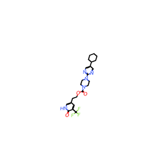 O=C(OCCc1c[nH]c(=O)c(C(F)(F)F)c1)N1CCN(c2ncc(C3CCCCC3)cn2)CC1